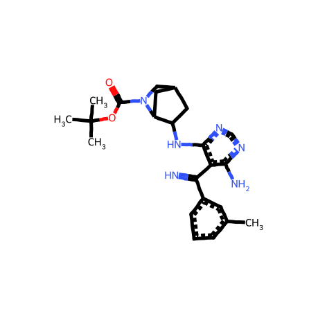 Cc1cccc(C(=N)c2c(N)ncnc2NC2CC3CC2N(C(=O)OC(C)(C)C)C3)c1